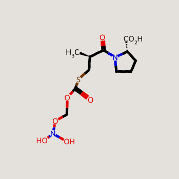 C[C@H](CSC(=O)OCON(O)O)C(=O)N1CCC[C@H]1C(=O)O